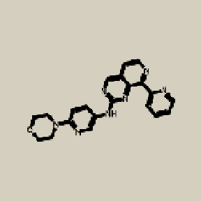 c1ccc(-c2nccc3cnc(Nc4ccc(N5CCOCC5)nc4)nc23)nc1